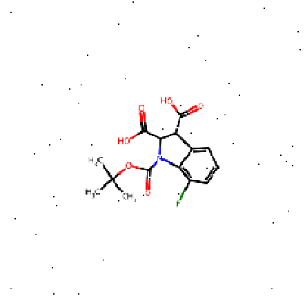 CC(C)(C)OC(=O)N1c2c(F)cccc2C(C(=O)O)C1C(=O)O